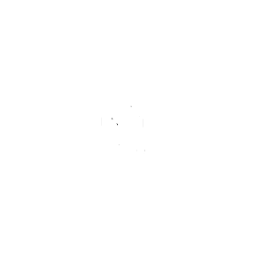 [2H]C(C)(CC)NC(=O)C=C